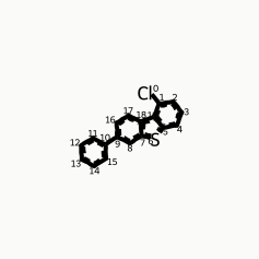 Clc1cccc2sc3cc(-c4ccccc4)ccc3c12